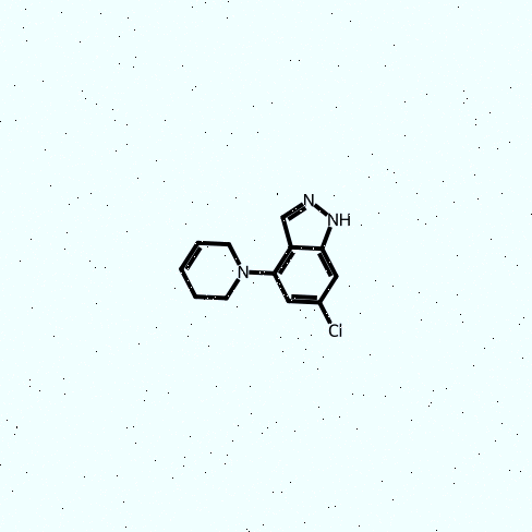 Clc1cc(N2CC=CCC2)c2cn[nH]c2c1